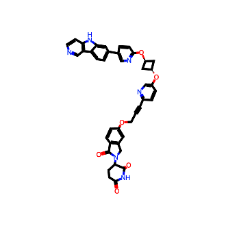 O=C1CCC(N2Cc3cc(OCC#Cc4ccc(O[C@H]5C[C@H](Oc6ccc(-c7ccc8c(c7)[nH]c7ccncc78)cn6)C5)cn4)ccc3C2=O)C(=O)N1